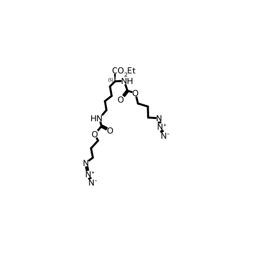 CCOC(=O)[C@H](CCCCNC(=O)OCCCN=[N+]=[N-])NC(=O)OCCCN=[N+]=[N-]